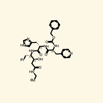 CCC(C)CNC(=O)C[C@H](O)[C@H](CC(C)C)NC(=O)[C@H](Cc1c[nH]cn1)NC(=O)[C@H](Cc1ccncc1)NC(=O)OCc1ccccc1